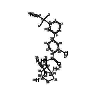 CC(C)(C#N)c1cccc(-c2ccc(C(=O)N[C@@H]3C[C@@H]4CC[C@H]3N4C#N)c(Cl)c2)n1